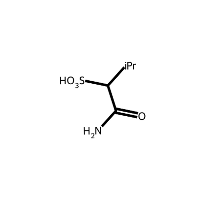 CC(C)C(C(N)=O)S(=O)(=O)O